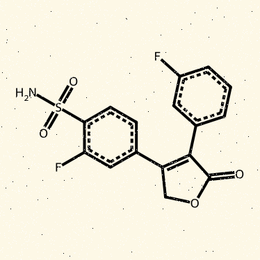 NS(=O)(=O)c1ccc(C2=C(c3cccc(F)c3)C(=O)OC2)cc1F